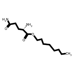 CCCCCCCCOC(=O)[C@@H](N)CCC(N)=O